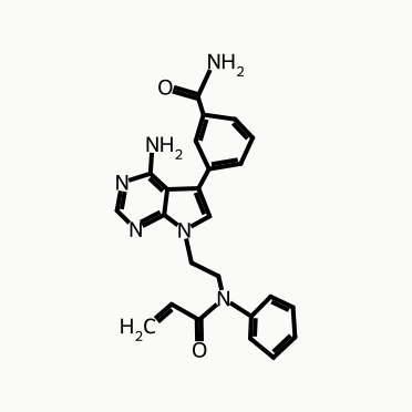 C=CC(=O)N(CCn1cc(-c2cccc(C(N)=O)c2)c2c(N)ncnc21)c1ccccc1